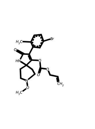 C=CCOC(=O)OC1=C(c2cc(Br)ccc2C)C(=O)NC12CCN(OC)CC2